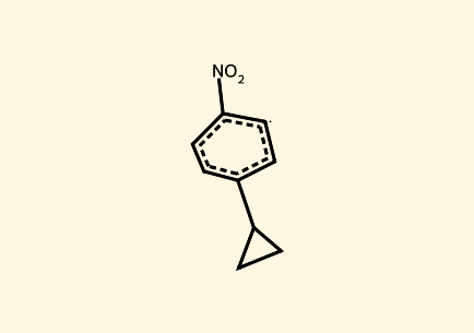 O=[N+]([O-])c1[c]cc(C2CC2)cc1